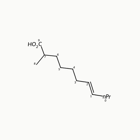 CCCC=CCCCCC(C)C(=O)O